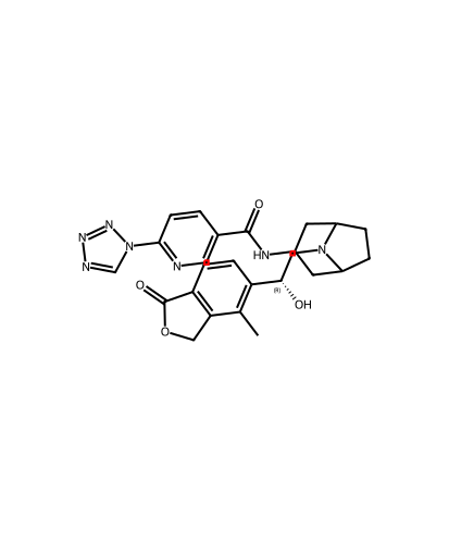 Cc1c([C@@H](O)CN2C3CCC2CC(NC(=O)c2ccc(-n4cnnn4)nc2)C3)ccc2c1COC2=O